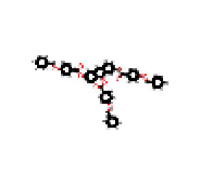 O=C(Oc1ccc2c(OC(=O)c3ccc(OCc4ccccc4)cc3)c3cc(OC(=O)c4ccc(OCc5ccccc5)cc4)ccc3cc2c1)c1ccc(OCc2ccccc2)cc1